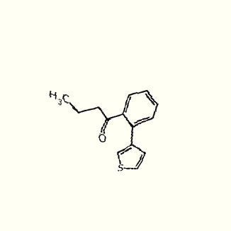 CCCC(=O)c1ccccc1-c1ccsc1